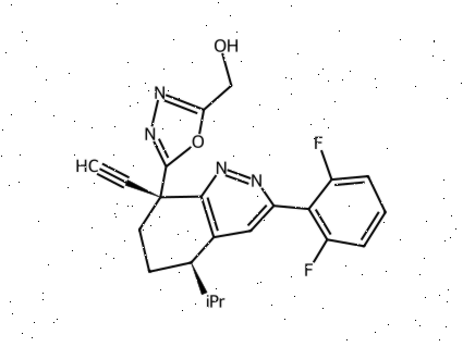 C#C[C@]1(c2nnc(CO)o2)CC[C@H](C(C)C)c2cc(-c3c(F)cccc3F)nnc21